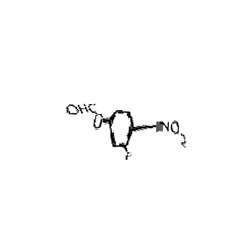 O=COc1ccc([N+](=O)[O-])c(F)c1